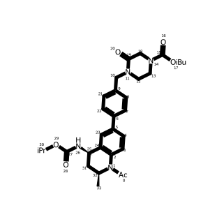 CC(=O)N1c2ccc(-c3ccc(CN4CCN(C(=O)OCC(C)C)CC4=O)cc3)cc2[C@H](NC(=O)OC(C)C)C[C@@H]1C